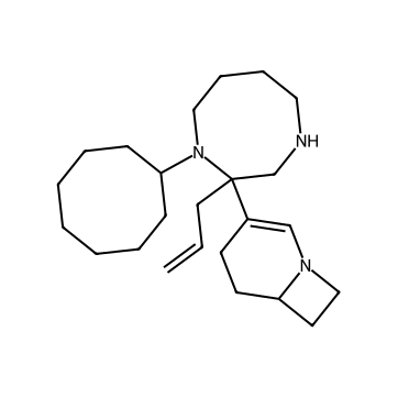 C=CCC1(C2=CN3CCC3CC2)CNCCCCN1C1CCCCCCC1